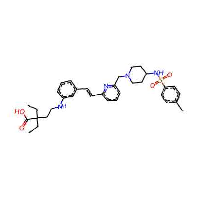 CCC(CC)(CCNc1cccc(C=Cc2cccc(CN3CCC(NS(=O)(=O)c4ccc(C)cc4)CC3)n2)c1)C(=O)O